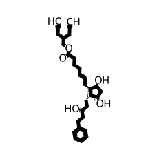 C#CCC(CC#C)COC(=O)CCCC=CC[C@@H]1[C@@H](CC[C@@H](O)CCc2ccccc2)[C@H](O)C[C@@H]1O